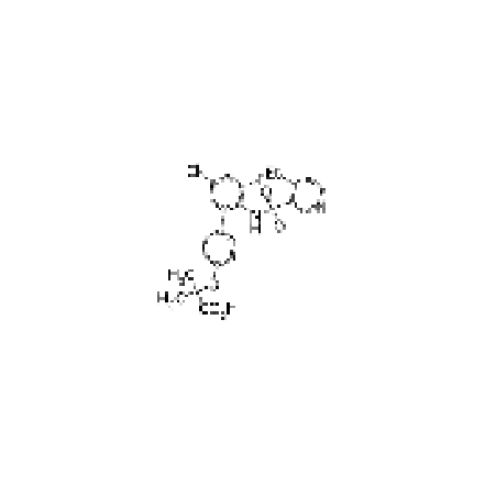 CCc1ccncc1S(=O)(=O)Nc1c(F)cc(Cl)cc1-c1ccc(OC(C)(C)C(=O)O)cc1